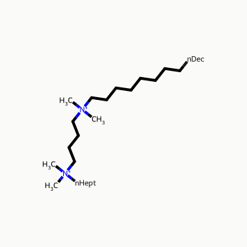 CCCCCCCCCCCCCCCCCC[N+](C)(C)CCCC[N+](C)(C)CCCCCCC